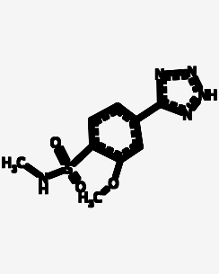 CNS(=O)(=O)c1ccc(-c2nn[nH]n2)cc1OC